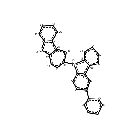 c1ccc(-c2ccc3c(c2)c2ccccc2n3-c2ccc3oc4ccccc4c3c2)cc1